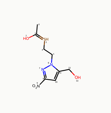 CC(O)=[SH]CCn1nc([N+](=O)[O-])cc1CO